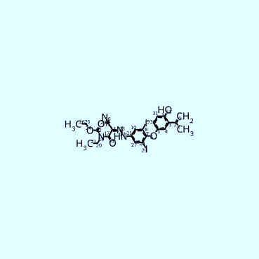 C=C(C)c1cc(Oc2c(I)cc(NN=C(C#N)C(=O)N(CC)C(=O)OCC)cc2I)ccc1O